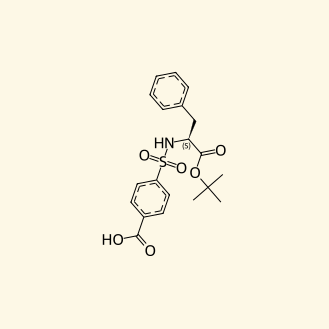 CC(C)(C)OC(=O)[C@H](Cc1ccccc1)NS(=O)(=O)c1ccc(C(=O)O)cc1